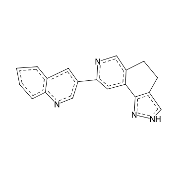 c1ccc2ncc(-c3cc4c(cn3)CCc3c[nH]nc3-4)cc2c1